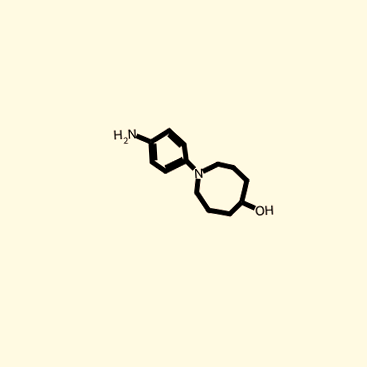 Nc1ccc(N2CCCC(O)CCC2)cc1